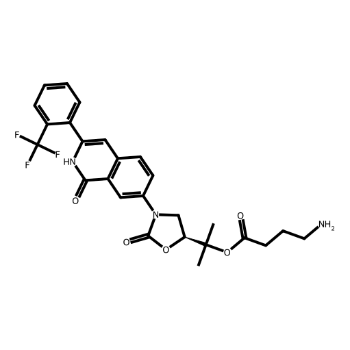 CC(C)(OC(=O)CCCN)[C@@H]1CN(c2ccc3cc(-c4ccccc4C(F)(F)F)[nH]c(=O)c3c2)C(=O)O1